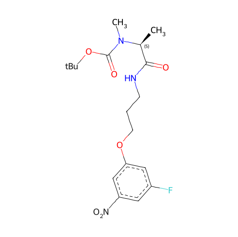 C[C@@H](C(=O)NCCCOc1cc(F)cc([N+](=O)[O-])c1)N(C)C(=O)OC(C)(C)C